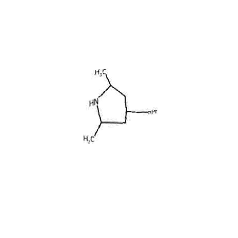 CCCC1CC(C)NC(C)C1